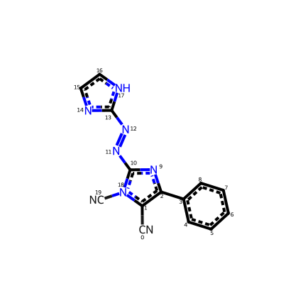 N#Cc1c(-c2ccccc2)nc(N=Nc2ncc[nH]2)n1C#N